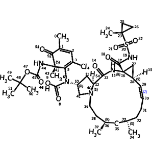 CC1=CC(Cl)=C(N(C(=O)O)[C@@H]2C[C@H]3C(=O)N[C@]4(C(=O)NS(=O)(=O)C5(C)CC5)C[C@H]4/C=C\CC[C@H](C)C[C@@H](C)CCN3C2)[C@](C)(NC(=O)OC(C)(C)C)C1=O